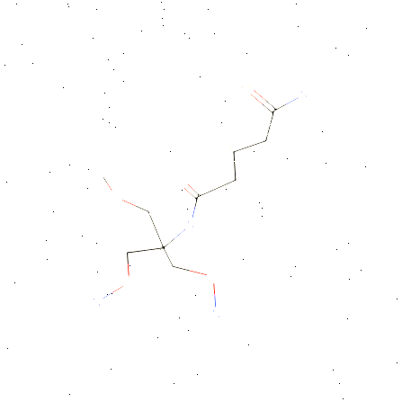 COCC(CON)(CON)NC(=O)CCCC(N)=O